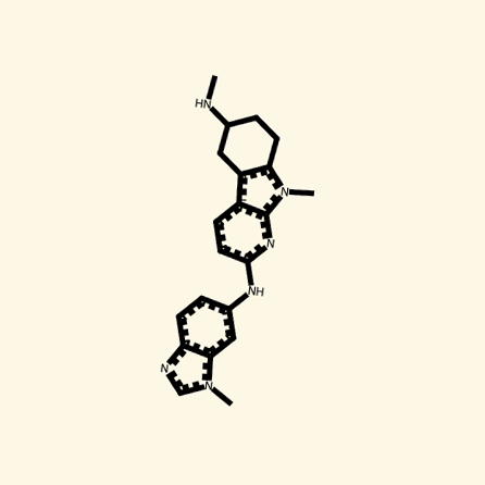 CNC1CCc2c(c3ccc(Nc4ccc5ncn(C)c5c4)nc3n2C)C1